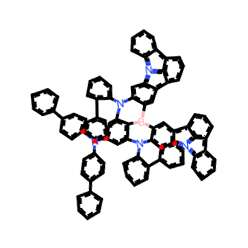 c1ccc(-c2ccc(N(c3ccc(-c4ccccc4)cc3)c3cc4c5c(c3)N(c3ccccc3-c3ccccc3)c3cc6c(cc3B5c3cc5c7cccc8c9ccccc9n(c5cc3N4c3ccccc3-c3ccccc3)c87)c3cccc4c5ccccc5n6c43)cc2)cc1